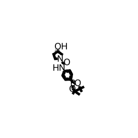 CC1(C)OB(c2ccc(NC(=O)N3CC[C@H](O)C3)cc2)OC1(C)C